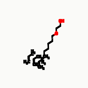 C=CC.C=CC.C=CC.CCCCCCOCCO